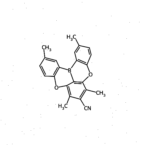 Cc1ccc2c(c1)B1c3cc(C)ccc3Oc3c(C)c(C#N)c(C)c(c31)O2